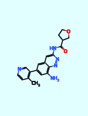 Cc1ccncc1-c1cc(N)c2nnc(NC(=O)C3CCOC3)cc2c1